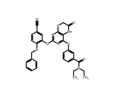 CCN(CC)C(=O)c1cccc(Oc2nc(Oc3cc(C#N)ccc3OCc3ccccc3)nc3c2NC(=O)CO3)c1